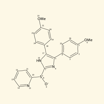 COc1ccc(-c2nc([S+]([O-])c3ccccn3)[nH]c2-c2ccc(OC)cc2)cc1